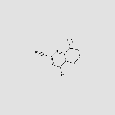 CN1CCOc2c(Br)cc(C#N)nc21